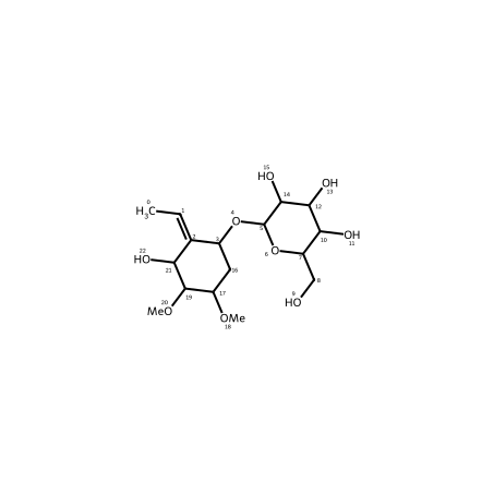 C/C=C1/C(OC2OC(CO)C(O)C(O)C2O)CC(OC)C(OC)C1O